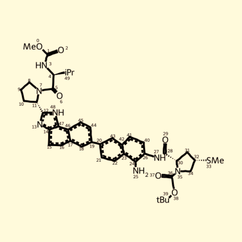 COC(=O)N[C@H](C(=O)N1CCC[C@H]1c1nc2ccc3cc(-c4ccc5c(N)c(NC(=O)[C@@H]6C[C@H](SC)CN6C(=O)OC(C)(C)C)ccc5c4)ccc3c2[nH]1)C(C)C